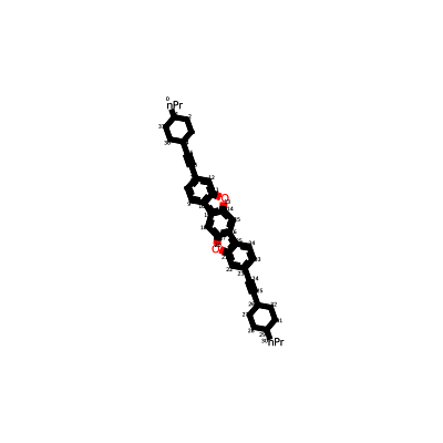 CCCC1CCC(C#Cc2ccc3c(c2)oc2cc4c(cc23)oc2cc(C#CC3CCC(CCC)CC3)ccc24)CC1